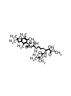 COC(=O)C(O)[C@H](CCCNC(=N)NS(=O)(=O)c1c(C)c(C)c2c(c1C)CC(C)(C)O2)NC(=O)OC(C)(C)C